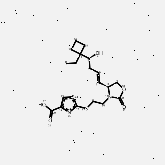 CCC1([C@@H](O)C/C=C/[C@H]2COC(=O)N2CCSc2nc(C(=O)O)cs2)CCC1